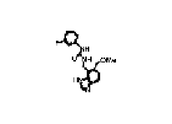 COCc1ccc2nc[nH]c2c1CNC(=O)Nc1cccc(F)c1